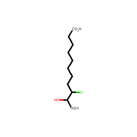 CCCCCCCCC(O)C(Cl)CCCCCCCC(=O)O